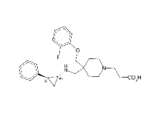 O=C(O)CCN1CCC(CN[C@@H]2C[C@H]2c2ccccc2)(COc2ccccc2F)CC1